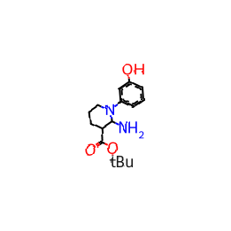 CC(C)(C)OC(=O)C1CCCN(c2cccc(O)c2)C1N